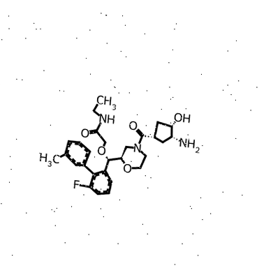 CCNC(=O)CO[C@@H](c1cccc(F)c1-c1cccc(C)c1)[C@H]1CN(C(=O)[C@H]2C[C@@H](N)[C@@H](O)C2)CCO1